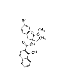 CCC(Cc1ccc(Br)cc1)(NC(=O)c1ccc2ccccc2c1O)C(=O)OC